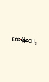 CCN1CCC(c2cnc(N3CCC(C)CC3)nc2)CC1